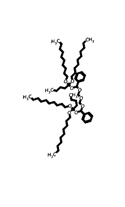 CCCCCCCCCCOC(CCCC)(OCCCCCCCCCC)OC(OCOCOC(OC(CCCC)(OCCCCCCCCCC)OCCCCCCCCCC)c1ccccc1)c1ccccc1